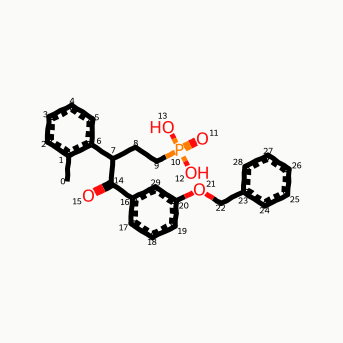 Cc1ccccc1C(CCP(=O)(O)O)C(=O)c1cccc(OCc2ccccc2)c1